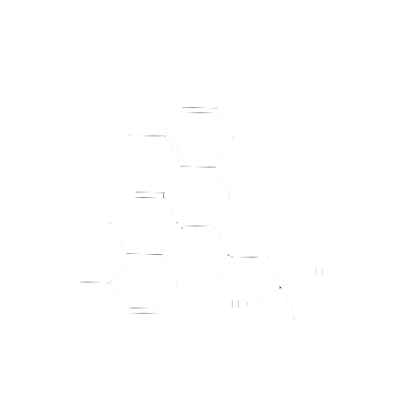 CC(C)(C)OC(=O)CN(C(=O)c1c(F)cc(F)cc1F)c1cccc(F)c1F